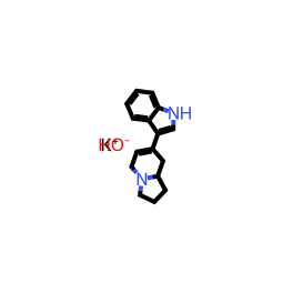 C1=C(c2c[nH]c3ccccc23)CC2CCCN2C1.[K+].[OH-]